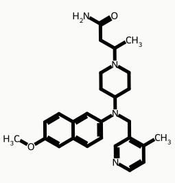 COc1ccc2cc(N(Cc3cnccc3C)C3CCN(C(C)CC(N)=O)CC3)ccc2c1